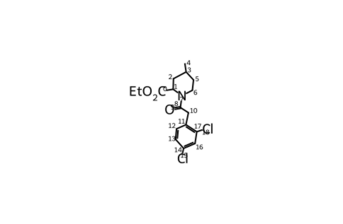 CCOC(=O)C1CC(C)CCN1C(=O)Cc1ccc(Cl)cc1Cl